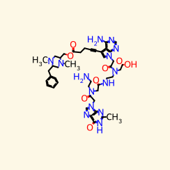 Cc1nc2c(ncn2CC(=O)N(CCN)CC(=O)NCCN(CC(=O)O)C(=O)Cn2cc(C#CCCC(=O)OCC3CN(C)C(Cc4ccccc4)CN3C)c3c(N)ncnc32)c(=O)[nH]1